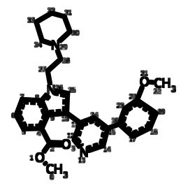 COC(=O)c1cccc2c1c(-c1cncc(-c3cccc(OC)c3)c1)cn2CCN1CCCCC1